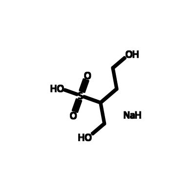 O=S(=O)(O)C(CO)CCO.[NaH]